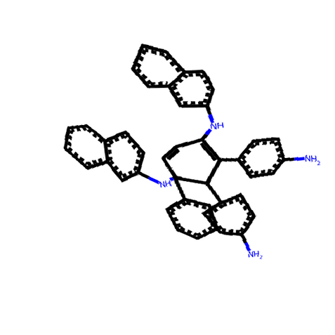 Nc1ccc(C2=C(Nc3ccc4ccccc4c3)C=CC(Nc3ccc4ccccc4c3)(c3ccccc3)C2c2ccc(N)cc2)cc1